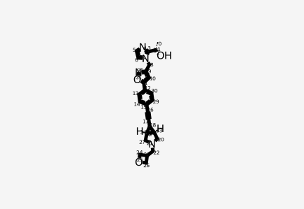 C[C@H](O)c1nccn1Cc1cc(-c2ccc(C#CC3[C@H]4CN(CC5COC5)C[C@@H]34)cc2)on1